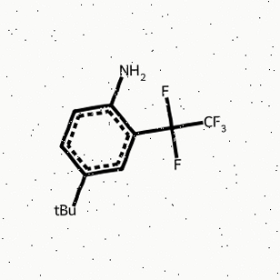 CC(C)(C)c1ccc(N)c(C(F)(F)C(F)(F)F)c1